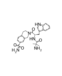 CC(C)(N)C(=O)N[C@H](Cc1c[nH]c2ccccc12)C(=O)N1CCc2ccc(S(N)(=O)=O)cc2C1